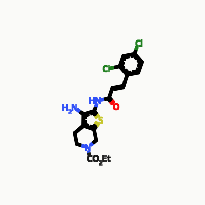 CCOC(=O)N1CCc2c(sc(NC(=O)/C=C/c3ccc(Cl)cc3Cl)c2N)C1